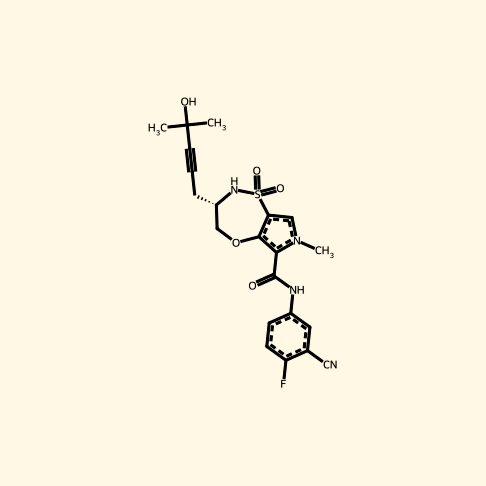 Cn1cc2c(c1C(=O)Nc1ccc(F)c(C#N)c1)OC[C@H](CC#CC(C)(C)O)NS2(=O)=O